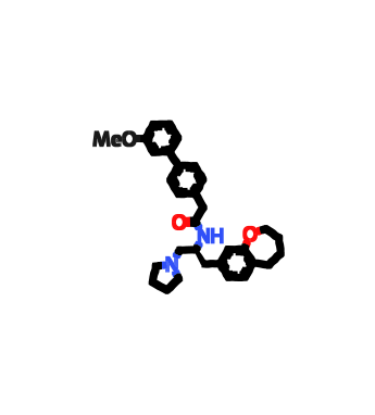 COc1cccc(-c2ccc(CC(=O)N[C@@H](Cc3ccc4c(c3)OCCCC4)CN3CCCC3)cc2)c1